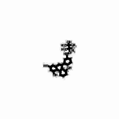 CC(C)(O)C(C)(C)OBc1cccc(-c2cc3cc(O)cc(O)c3c3cccc(O)c23)c1